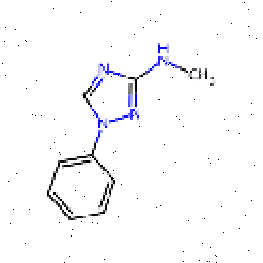 CNc1ncn(-c2ccccc2)n1